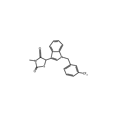 CN1C(=O)SC(c2cn(Cc3cccc(C(F)(F)F)c3)c3ccccc23)C1=O